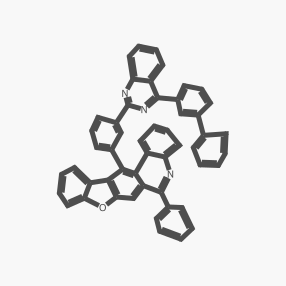 c1ccc(-c2cccc(-c3nc(-c4cccc(-c5c6c(cc7c(-c8ccccc8)nc8ccccc8c57)oc5ccccc56)c4)nc4ccccc34)c2)cc1